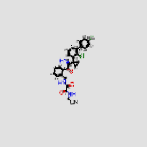 N#CCNC(=O)C(=O)NCc1ccccc1C(=O)C(=N)C1(c2cccc(-c3ccc(F)cc3)c2Cl)CC1